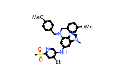 CCc1cc(S(C)(=O)=O)ncc1Nc1cc(N(Cc2ccc(OC)cc2)Cc2ccc(OC)cc2)c2ncn(C)c2c1